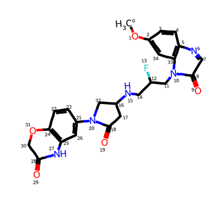 COc1ccc2ncc(=O)n(CC(F)CNC3CC(=O)N(c4ccc5c(c4)NC(=O)CO5)C3)c2c1